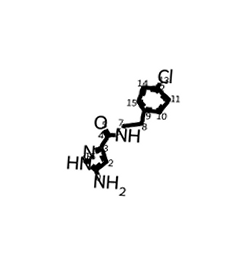 Nc1cc(C(=O)NCCc2ccc(Cl)cc2)n[nH]1